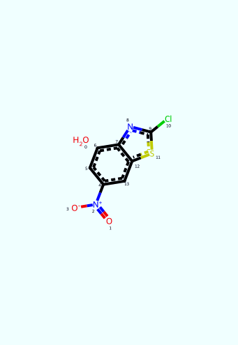 O.O=[N+]([O-])c1ccc2nc(Cl)sc2c1